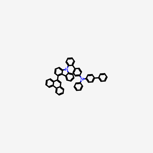 c1ccc(-c2ccc(N(c3ccccc3)c3ccc(-c4ccccc4-n4c5ccccc5c5c(-c6cc7ccccc7c7ccccc67)cccc54)cc3)cc2)cc1